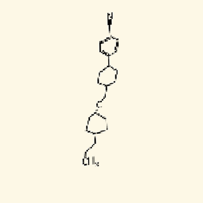 CCC[C@H]1CC[C@H](CCC2CCC(c3ccc(C#N)cc3)CC2)CC1